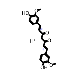 COc1cc(/C=C/C(=O)CC(=O)/C=C/c2ccc(O)c(OC)c2)ccc1O.[H+]